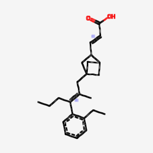 CCC/C(=C(/C)CC12CC(/C=C/C(=O)O)C(C1)C2)c1ccccc1CC